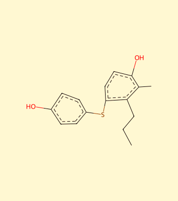 CCCc1c(Sc2ccc(O)cc2)ccc(O)c1C